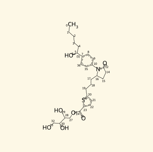 CCCCC[C@H](O)c1ccc(N2C(=O)CCC2CCCc2ccc(C(=O)OCC(O)C(O)CO)s2)cc1